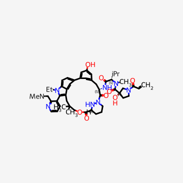 C=CC(=O)N1CC[C@](O)(C(=O)N(C)[C@H](C(=O)N[C@H]2Cc3cc(O)cc(c3)-c3ccc4c(c3)c(c(-c3cccnc3CNC)n4CC)CC(C)(C)COC(=O)[C@@H]3CCCN(N3)C2=O)C(C)C)C1